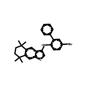 CC(C)(C)c1ccc(Nc2csc3cc4c(cc23)C(C)(C)CCC4(C)C)c(-c2ccccc2)c1